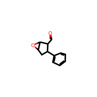 O=CC1C(c2ccccc2)CC2OC21